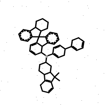 CC1(C)C2=C(CCC=C2)C2CCC(N(C3=CCC(C4=CC=CCC4)C=C3)C3C=CC=C4C3c3ccccc3C43c4ccccc4C4CCCCC43)CC21